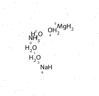 N.O.O.O.O.[MgH2].[NaH]